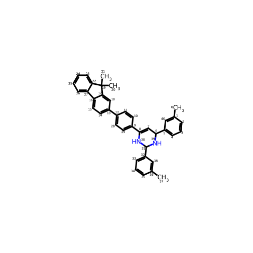 Cc1cccc(C2C=C(c3ccc(-c4ccc5c(c4)C(C)(C)c4ccccc4-5)cc3)NC(c3cccc(C)c3)N2)c1